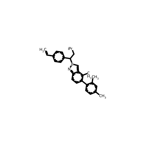 C=Cc1ccc(C(CC(C)C)B2C=c3c(C)c(-c4ccc(C)cc4C)ccc3=N2)cc1